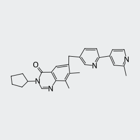 Cc1cc(-c2ccc(Cc3cc4c(=O)n(C5CCCC5)cnc4c(C)c3C)cn2)ccn1